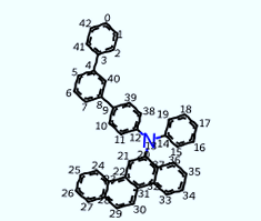 c1ccc(-c2cccc(-c3ccc(N(c4ccccc4)c4cc5c6ccccc6ccc5c5ccccc45)cc3)c2)cc1